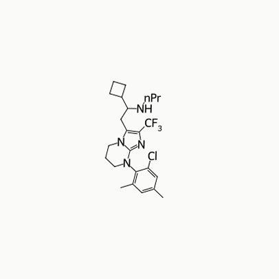 CCCNC(Cc1c(C(F)(F)F)nc2n1CCCN2c1c(C)cc(C)cc1Cl)C1CCC1